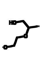 [CH2]C(CO)OCC[O]